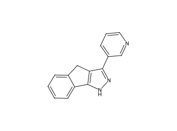 c1cncc(-c2n[nH]c3c2Cc2ccccc2-3)c1